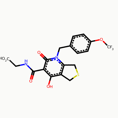 O=C(O)CNC(=O)c1c(O)c2c(n(Cc3ccc(OC(F)(F)F)cc3)c1=O)CSC2